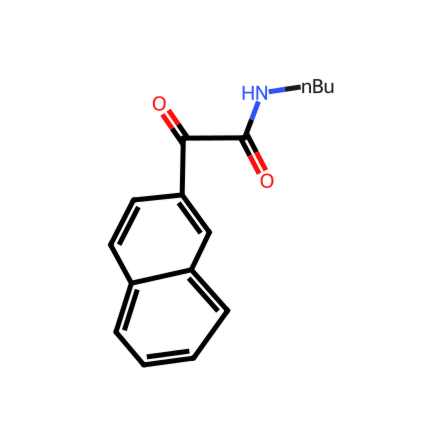 CCCCNC(=O)C(=O)c1ccc2ccccc2c1